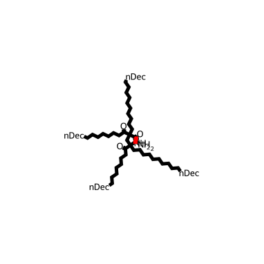 CCCCCCCCCCCCCCCCCCCCC(CC(CCCCCCCCCCCCCCCCCCCC)(C(N)=O)C(=O)CCCCCCCCCCCCCCCCC)(C(N)=O)C(=O)CCCCCCCCCCCCCCCCC